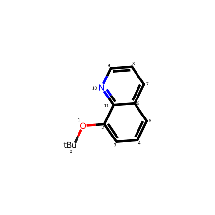 CC(C)(C)Oc1cccc2cccnc12